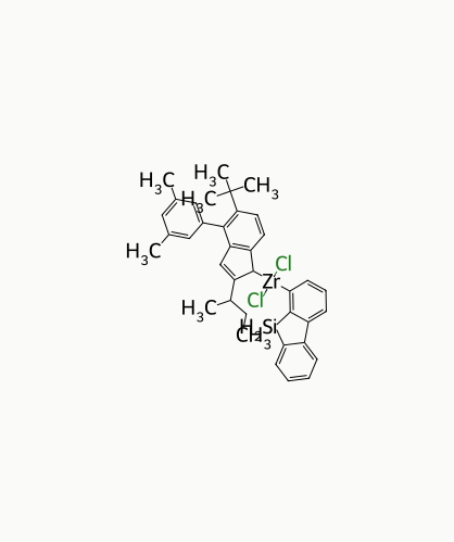 CCC(C)C1=Cc2c(ccc(C(C)(C)C)c2-c2cc(C)cc(C)c2)[CH]1[Zr]([Cl])([Cl])[c]1cccc2c1[SiH2]c1ccccc1-2